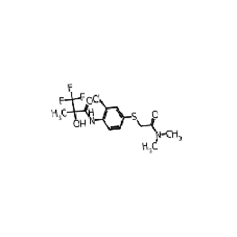 CN(C)C(=O)CSc1ccc(NC(=O)C(C)(O)C(F)(F)F)c(Cl)c1